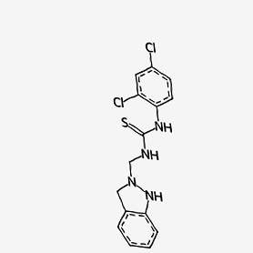 S=C(NCN1Cc2ccccc2N1)Nc1ccc(Cl)cc1Cl